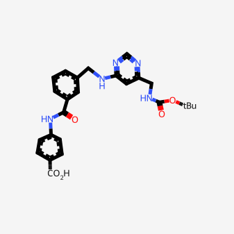 CC(C)(C)OC(=O)NCc1cc(NCc2cccc(C(=O)Nc3ccc(C(=O)O)cc3)c2)ncn1